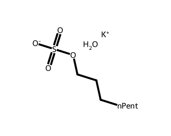 CCCCCCCCOS(=O)(=O)[O-].O.[K+]